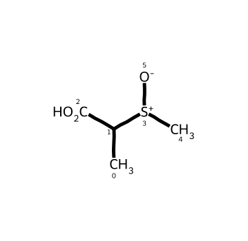 CC(C(=O)O)[S+](C)[O-]